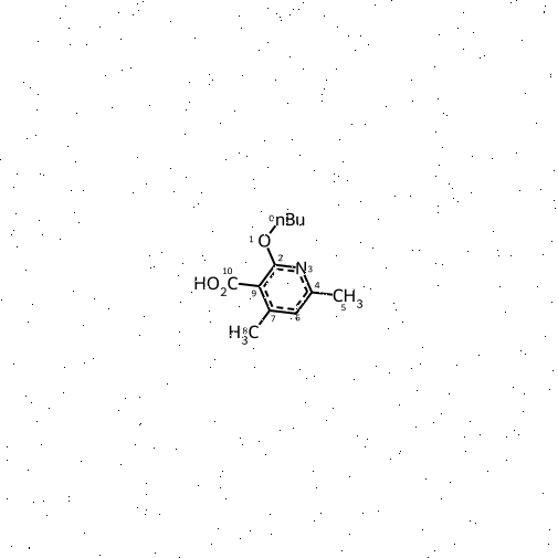 CCCCOc1nc(C)cc(C)c1C(=O)O